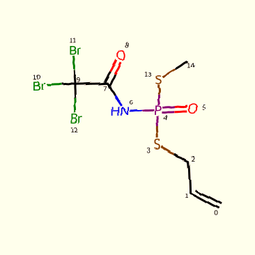 C=CCSP(=O)(NC(=O)C(Br)(Br)Br)SC